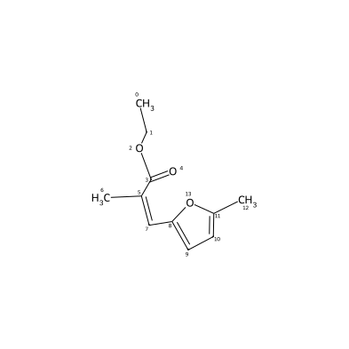 CCOC(=O)C(C)=Cc1ccc(C)o1